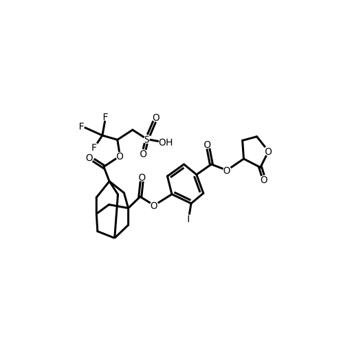 O=C(OC1CCOC1=O)c1ccc(OC(=O)C23CC4CC(C2)CC(C(=O)OC(CS(=O)(=O)O)C(F)(F)F)(C4)C3)c(I)c1